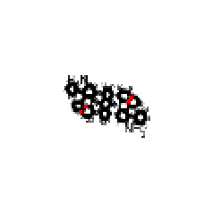 Nc1ccc(N(c2ccccc2)c2c3ccccc3c(N(c3ccccc3)c3ccc(N)c(-c4ccccc4)c3-c3ccccc3)c3ccccc23)c(-c2ccccc2)c1-c1ccccc1